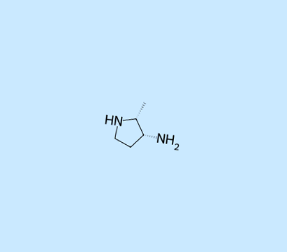 C[C@H]1NCC[C@H]1N